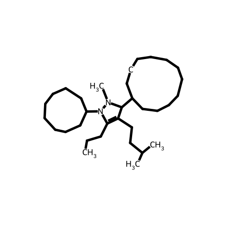 CCCC1=C(CCC(C)C)C(C2CCCCCCCCCCC2)N(C)N1C1CCCCCCCC1